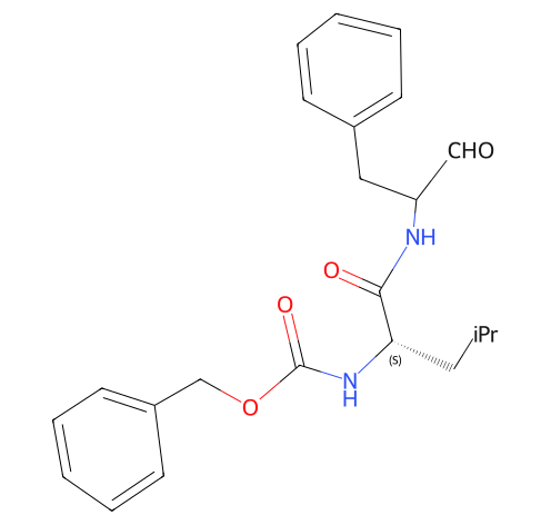 CC(C)C[C@H](NC(=O)OCc1ccccc1)C(=O)NC(C=O)Cc1ccccc1